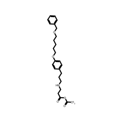 O=C(CCNCCCc1ccc(OCCCCCOCc2ccccc2)cc1)OC(=O)C(F)(F)F